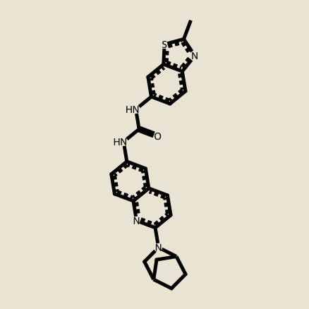 Cc1nc2ccc(NC(=O)Nc3ccc4nc(N5CC6CCC5C6)ccc4c3)cc2s1